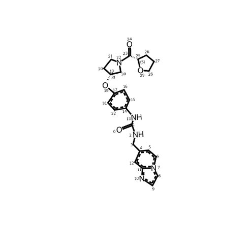 O=C(NCc1ccn2ccnc2c1)Nc1ccc(O[C@@H]2CCN(C(=O)[C@@H]3CCCO3)C2)cc1